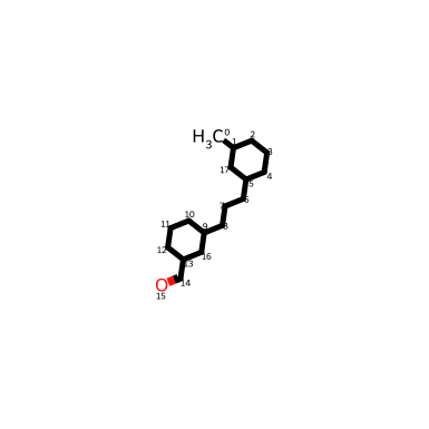 CC1CCCC(CCCC2CCCC(C=O)C2)C1